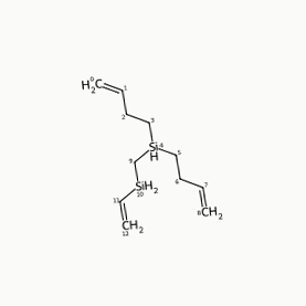 C=CCC[SiH](CCC=C)C[SiH2]C=C